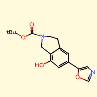 CC(C)(C)OC(=O)N1CCc2cc(-c3cnco3)cc(O)c2C1